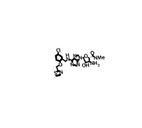 CNC(=O)[C@H]1O[C@@H](n2cnc3c(NCc4cc(Cl)ccc4OCc4nccs4)ncnc32)[C@H](O)[C@@H]1N